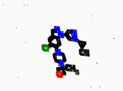 CC1(N2CCN(c3cc4c(cnn4-c4cnn([C@H]5C[C@@H]5C#N)c4)cc3Cl)CC2)COC1